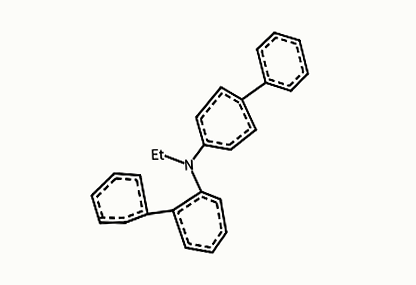 CCN(c1ccc(-c2ccccc2)cc1)c1ccccc1-c1ccccc1